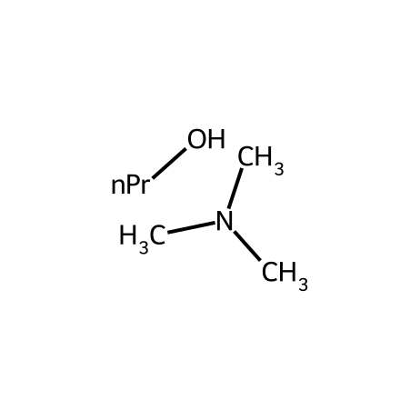 CN(C)C.[CH2]CCO